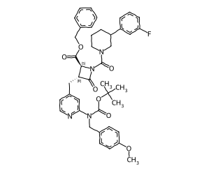 COc1ccc(CN(C(=O)OC(C)(C)C)c2cc(C[C@H]3C(=O)N(C(=O)N4CCCC(c5cccc(F)c5)C4)[C@@H]3C(=O)OCc3ccccc3)ccn2)cc1